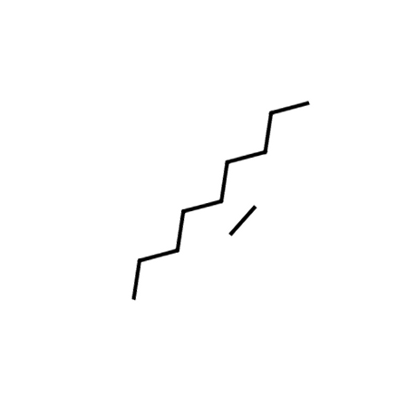 CC.CCCCCCCCC